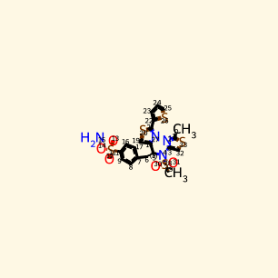 Cc1nc(N([C@@H](Cc2ccc(S(=O)(=O)ON)cc2)c2csc(-c3cccs3)n2)S(C)(=O)=O)cs1